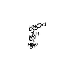 CC(Nc1nccc(CNS(C)(=O)=O)n1)c1cc2cc(Cl)ccc2[nH]c1=O